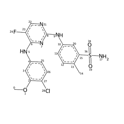 COc1cc(Nc2nc(Nc3ccc(C)c(S(N)(=O)=O)c3)ncc2F)ccc1Cl